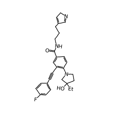 CCC1(O)CCN(c2ccc(C(=O)NCCCC3=CCN=C3)cc2C#Cc2ccc(F)cc2)C1